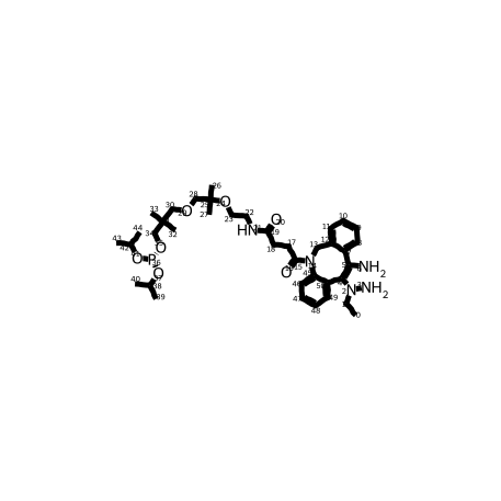 CCN(N)/C1=C(\N)c2ccccc2CN(C(=O)CCC(=O)NCCOC(C)(C)COCC(C)(C)COP(OC(C)C)OC(C)C)c2ccccc21